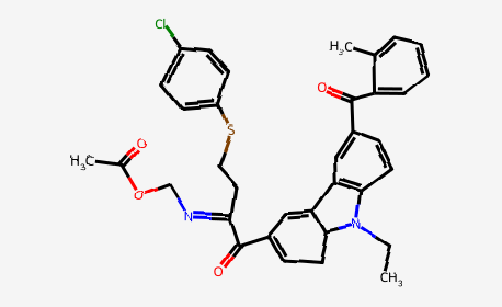 CCN1c2ccc(C(=O)c3ccccc3C)cc2C2=CC(C(=O)/C(CCSc3ccc(Cl)cc3)=N/COC(C)=O)=CCC21